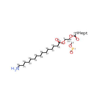 CCCCCCCC(=O)O[C@H](COP=O)COC(=O)CCCCCCCCCCCCCCN